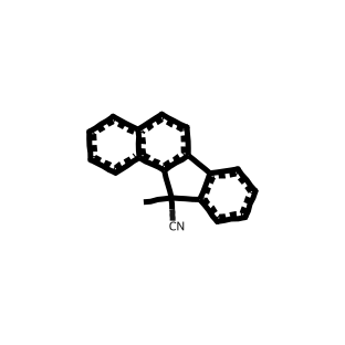 CC1(C#N)c2ccccc2-c2ccc3ccccc3c21